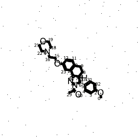 COc1ccc([C@H]2[C@@H]3CCc4ccc(OCCN5CCOCC5)cc4C3=NN2C(C)=O)cc1